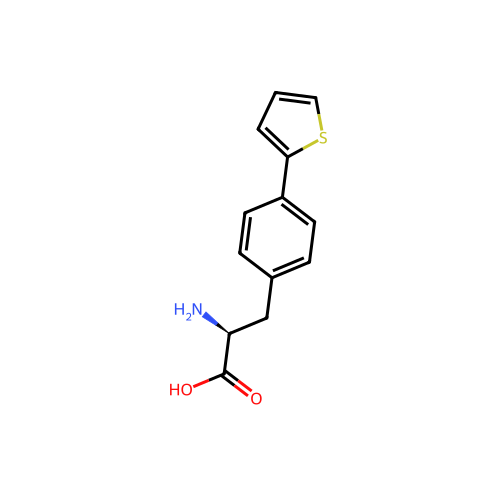 N[C@@H](Cc1ccc(-c2cccs2)cc1)C(=O)O